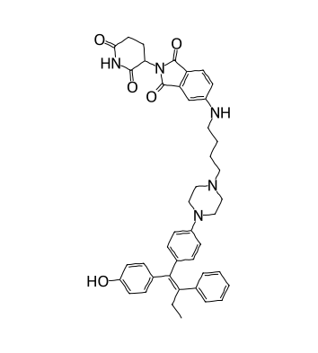 CCC(=C(c1ccc(O)cc1)c1ccc(N2CCN(CCCCNc3ccc4c(c3)C(=O)N(C3CCC(=O)NC3=O)C4=O)CC2)cc1)c1ccccc1